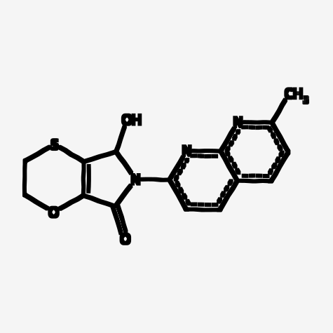 Cc1ccc2ccc(N3C(=O)C4=C(SCCO4)C3O)nc2n1